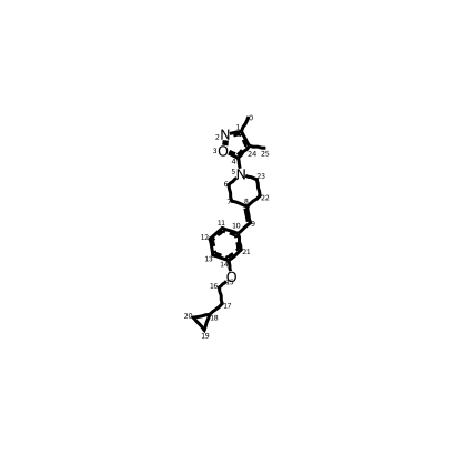 Cc1noc(N2CCC(=Cc3cccc(OCCC4CC4)c3)CC2)c1C